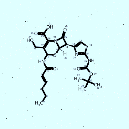 CCC/C=C/C(=O)NC1S[C@@H]2[C@H](c3csc(NC(=O)OC(C)(C)C)n3)C(=O)N2C(C(=O)O)=C1CO